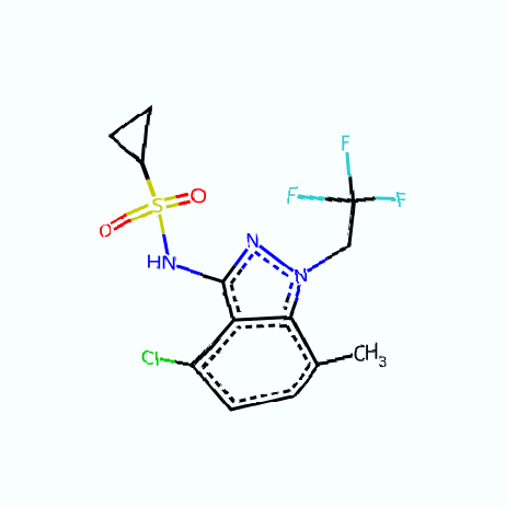 Cc1ccc(Cl)c2c(NS(=O)(=O)C3CC3)nn(CC(F)(F)F)c12